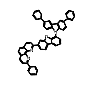 C1=CCC(c2ccc3c(c2)c2cc(-c4ccccc4)ccc2n3-c2cccc3c2oc2cc(-c4ccc5ccc6ccc(-c7ccccc7)nc6c5n4)ccc23)C=C1